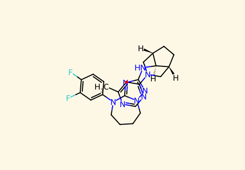 Cc1cc(N2C[C@H]3CC[C@@H](C2)[C@@H]3Nc2nc3n(n2)CCCCN3c2ccc(F)c(F)c2)ncn1